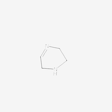 C1=[N+]CCNC1